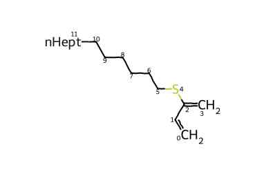 C=CC(=C)SCCCCCCCCCCCCC